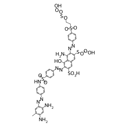 Cc1cc(/N=N/c2ccc(NS(=O)(=O)c3ccc(/N=N/c4c(S(=O)(=O)O)cc5cc(SOOO)c(/N=N/c6ccc(S(=O)(=O)CCOSOOO)cc6)c(N)c5c4O)cc3)cc2)c(N)cc1N